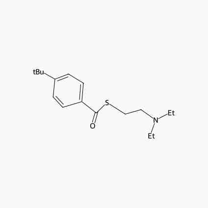 CCN(CC)CCSC(=O)c1ccc(C(C)(C)C)cc1